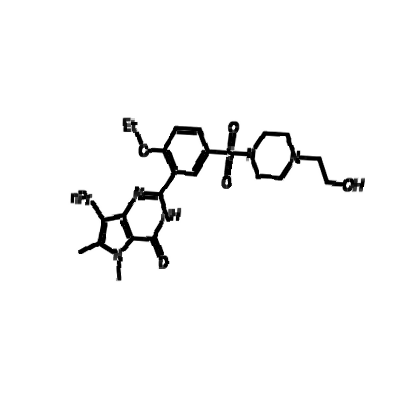 CCCc1c(C)n(C)c2c(=O)[nH]c(-c3cc(S(=O)(=O)N4CCN(CCO)CC4)ccc3OCC)nc12